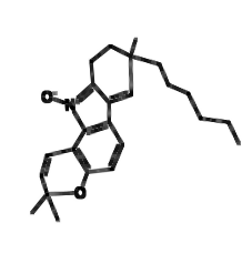 CCCCCCC1(C)C=C2C(=[N+]([O-])c3c2ccc2c3C=CC(C)(C)O2)CC1